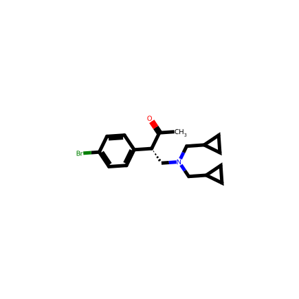 CC(=O)[C@H](CN(CC1CC1)CC1CC1)c1ccc(Br)cc1